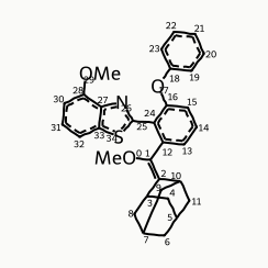 COC(=C1C2CC3CC(C2)CC1C3)c1cccc(Oc2ccccc2)c1-c1nc2c(OC)cccc2s1